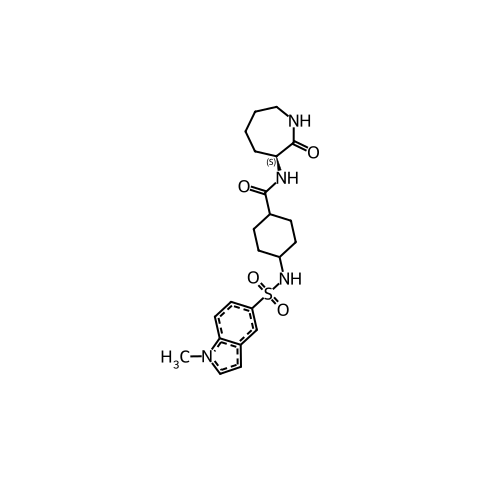 Cn1ccc2cc(S(=O)(=O)NC3CCC(C(=O)N[C@H]4CCCCNC4=O)CC3)ccc21